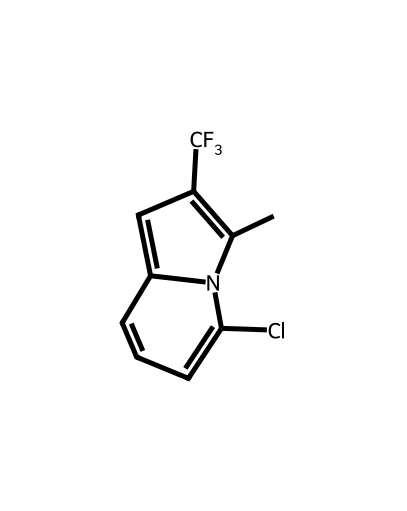 Cc1c(C(F)(F)F)cc2cccc(Cl)n12